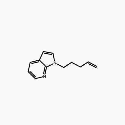 C=CCCCn1ccc2cccnc21